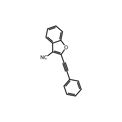 N#Cc1c(C#Cc2ccccc2)oc2ccccc12